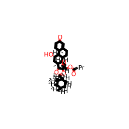 [2H]C1([2H])C([2H])([2H])C([2H])([C@]2([2H])O[C@@H]3C[C@H]4[C@@H]5CCC6=CC(=O)C=C[C@]6(C)[C@H]5[C@@H](O)C[C@]4(C)[C@]3(C(=O)COC(=O)C(C)C)O2)C([2H])([2H])C([2H])([2H])C1([2H])C